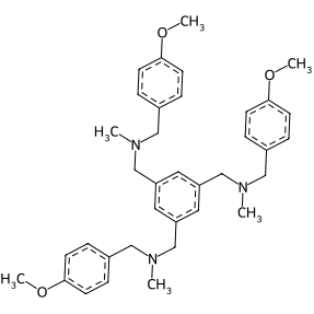 COc1ccc(CN(C)Cc2cc(CN(C)Cc3ccc(OC)cc3)cc(CN(C)Cc3ccc(OC)cc3)c2)cc1